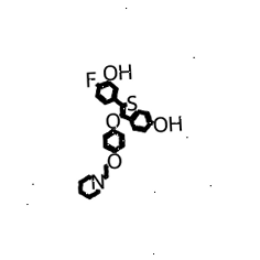 Oc1ccc2c(Oc3ccc(OCCN4CCCCC4)cc3)c(-c3ccc(F)c(O)c3)sc2c1